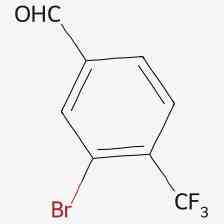 O=Cc1ccc(C(F)(F)F)c(Br)c1